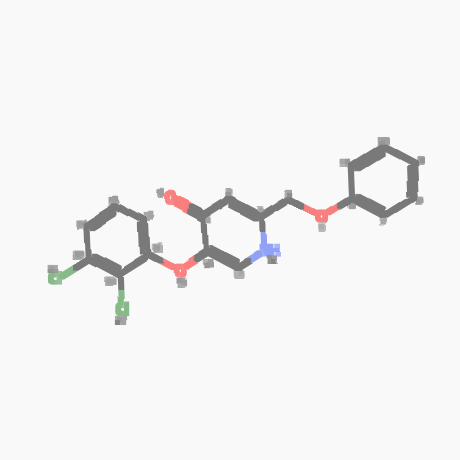 O=c1cc(COc2ccccc2)[nH]cc1Oc1cccc(Cl)c1Cl